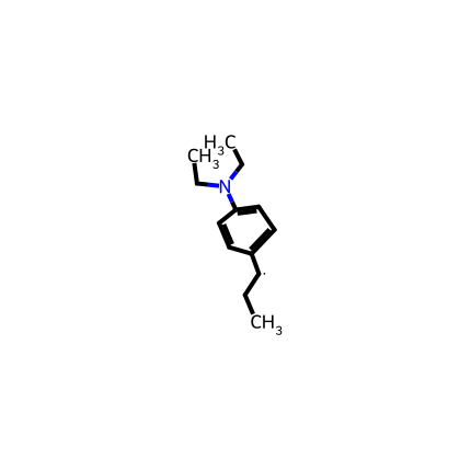 CC[CH]c1ccc(N(CC)CC)cc1